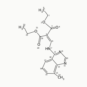 CCOC(=O)C(=CNc1ncnc2c(C)cccc12)C(=O)OCC